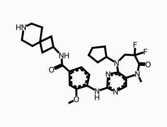 COc1cc(C(=O)NC2CC3(CCNCC3)C2)ccc1Nc1ncc2c(n1)N(C1CCCC1)CC(F)(F)C(=O)N2C